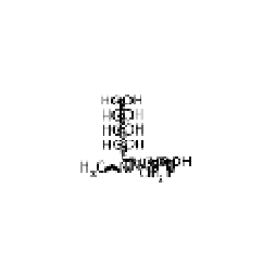 C=CN1C=CN(CCCC)C1.OB(O)F.OB(O)F.OB(O)F.OB(O)F.OB(O)F.OB(O)F